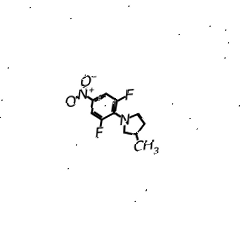 CC1CCN(c2c(F)cc([N+](=O)[O-])cc2F)C1